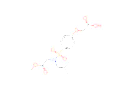 COC(=O)CN(CC(C)C)S(=O)(=O)c1ccc(OCC(=O)O)cc1